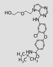 CC(C)(C)NC(=O)c1ccc(Oc2ccc(Nc3ncnc4ccn(CCOCCO)c34)cc2Cl)cc1